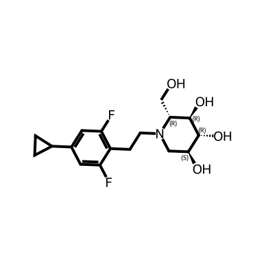 OC[C@@H]1[C@@H](O)[C@H](O)[C@@H](O)CN1CCc1c(F)cc(C2CC2)cc1F